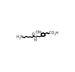 Cl.NCCCCCC(=O)NCCc1ccc(C=CC(=O)O)cc1